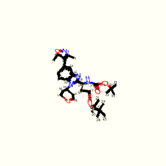 Cc1noc(C)c1-c1ccc2c(c1)nc([C@H](CCO[Si](C)(C)C(C)(C)C)NC(=O)OC(C)(C)C)n2C1CCOCC1